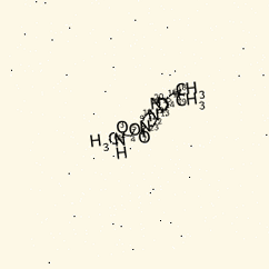 CNC(=O)COC(=O)N1CCN(c2ccc(CC(C)C)cn2)CC1